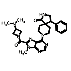 CN(C)C1CN(C(=O)c2nc3c(N4CCC5(CC4)C(=O)NCC5c4ccccc4)ncnc3n2C)C1